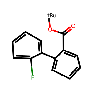 CC(C)(C)OC(=O)c1ccccc1-c1ccccc1F